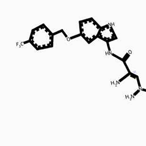 CN(N)/C=C(\N)C(=O)Nc1c[nH]c2ccc(OCc3ccc(C(F)(F)F)cc3)cc12